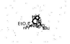 CCC[C@H](N[C@H]1CC[C@H]2CCC[C@H]2N(CC(=O)OC(C)(C)C)C1=O)C(=O)OCC